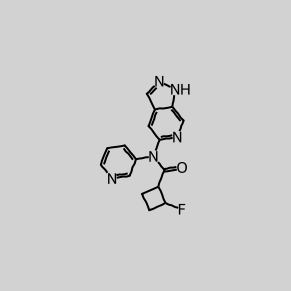 O=C(C1CCC1F)N(c1cccnc1)c1cc2cn[nH]c2cn1